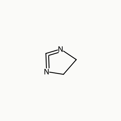 C1=NCCN=1